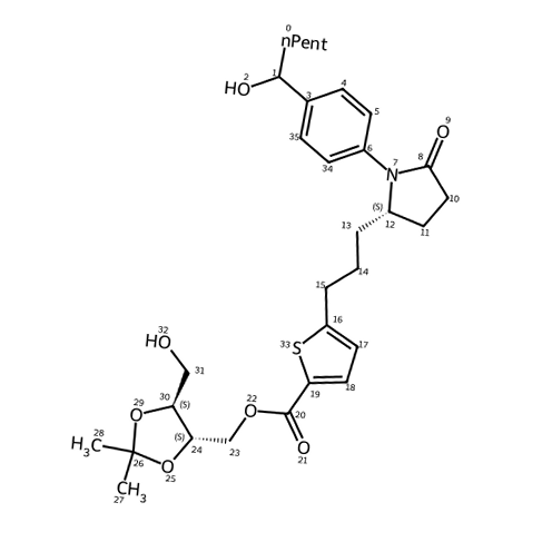 CCCCCC(O)c1ccc(N2C(=O)CC[C@@H]2CCCc2ccc(C(=O)OC[C@@H]3OC(C)(C)O[C@H]3CO)s2)cc1